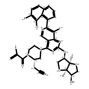 C=C(F)C(=O)N1CCN(c2nc(O[C@@H]3CO[C@H]4[C@@H]3OC[C@H]4O)nc3c(F)c(-c4cccc5ccc(F)c(Cl)c45)ncc23)C[C@@H]1CC#N